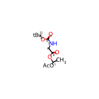 CC(=O)OC(C)OC(=O)CNC(=O)OC(C)(C)C